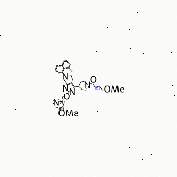 COC/C=C/C(=O)N1CCC(c2nc(OC[C@H]3C[C@@H](OC)CN3C)nc3c2CCN(c2cccc4cccc(C)c24)C3)CC1